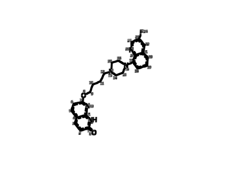 O=c1ccc2ccc(OCCCCN3CCN(c4cccc5cc(F)cnc45)CC3)nc2[nH]1